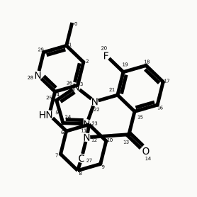 Cc1ccc(NC2CC3CCC2N(C(=O)c2cccc(F)c2-n2nccn2)C3)nc1